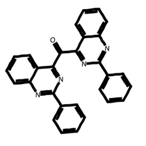 O=C(c1nc(-c2ccccc2)nc2ccccc12)c1nc(-c2ccccc2)nc2ccccc12